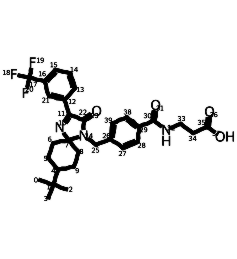 CC(C)(C)C1CCC2(CC1)N=C(c1cccc(C(F)(F)F)c1)C(=O)N2Cc1ccc(C(=O)NCCC(=O)O)cc1